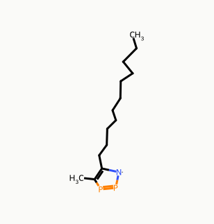 CCCCCCCCCCCC1=C(C)P=P[N]1